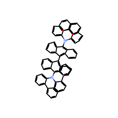 c1ccc(-c2ccccc2N(c2ccccc2-c2ccccc2)c2c3ccccc3c(-c3c4ccccc4c(N(c4ccccc4-c4ccccc4)c4ccccc4-c4ccccc4)c4ccccc34)c3ccccc23)cc1